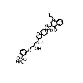 CCCn1cc(S(=O)(=O)N2CCC3(CC2)CC(NC[C@H](O)COc2cccc(S(=O)(=O)NC)c2)CO3)c(=O)c2ccccc21